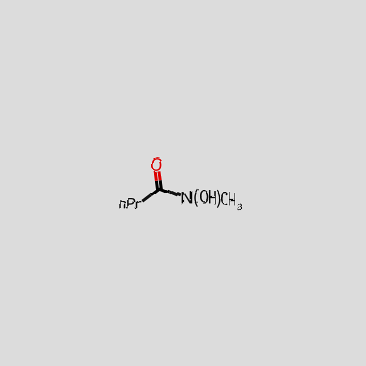 CCCC(=O)N(C)O